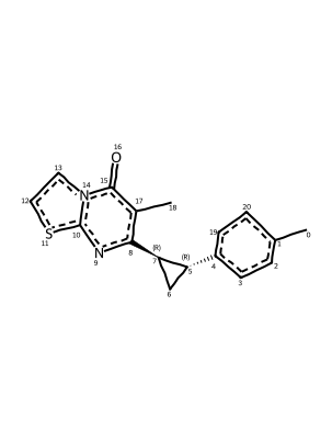 Cc1ccc([C@@H]2C[C@H]2c2nc3sccn3c(=O)c2C)cc1